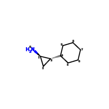 N[C@@H]1C[C@H]1C1CCCCC1